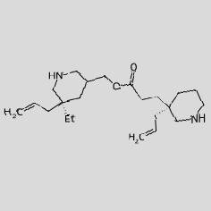 C=CC[C@]1(CCC(=O)OCC2CNC[C@](CC)(CC=C)C2)CCCNC1